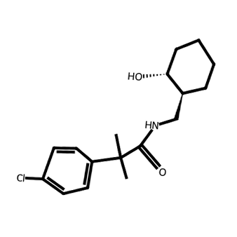 CC(C)(C(=O)NC[C@@H]1CCCC[C@H]1O)c1ccc(Cl)cc1